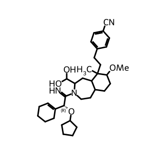 COC1CCC2CCN(C(=N)[C@H](OC3CCCC3)C3=CCCCC3)C(C(O)O)CC2C1(C)CCc1ccc(C#N)cc1